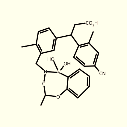 Cc1ccc(C(CC(=O)O)c2ccc(C#N)cc2C)cc1CN1CC(C)Oc2ccccc2S1(O)O